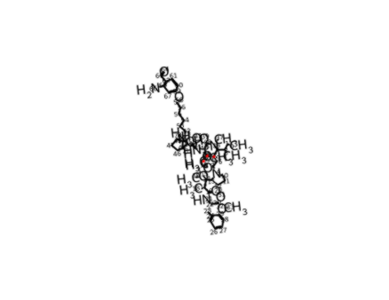 CC[C@H](C)[C@@H]([C@@H](CC(=O)N1CCC[C@H]1[C@H](OC)[C@@H](C)C(=O)N[C@@H](Cc1ccccc1)C(=O)OC)OC)N(C)C(=O)[C@@H](NC(=O)[C@@H]1[C@H]2CC[C@@H]([C@H]2C)N1CCCCCCOc1ccc(C=O)c(N)c1)C(C)C